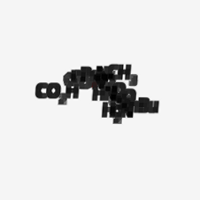 CCCC[C@H](N)C(=O)SC[C@@H](Cc1ccccc1)NC(=O)c1cc(C)c2nc(CCC)n(Cc3ccc(-c4ccccc4C(=O)O)cc3)c2c1